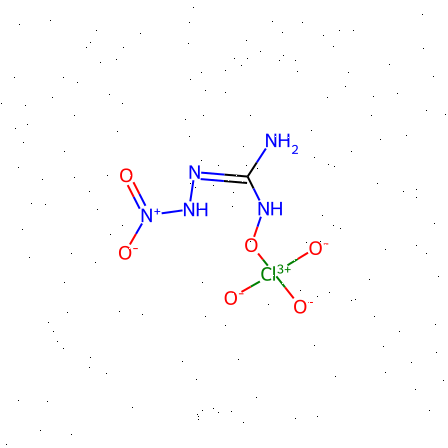 NC(=NN[N+](=O)[O-])NO[Cl+3]([O-])([O-])[O-]